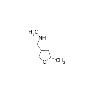 CNCC1COC(C)C1